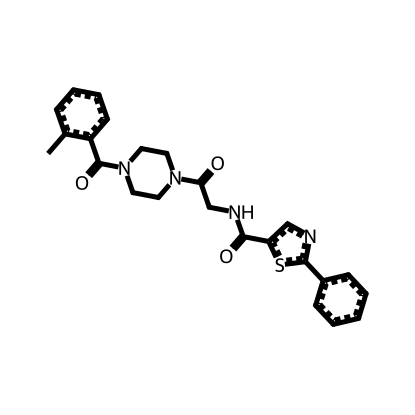 Cc1ccccc1C(=O)N1CCN(C(=O)CNC(=O)c2cnc(-c3ccccc3)s2)CC1